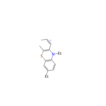 C/C=C\C1=C(C)Sc2cc(CC)ccc2N1CC